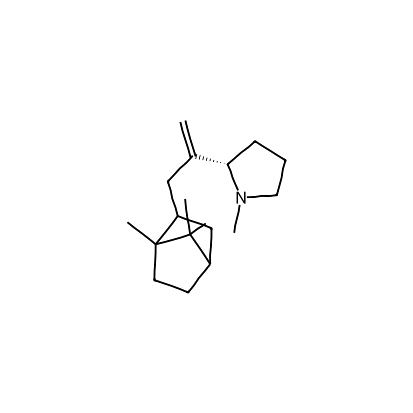 C=C(CC1CC2CCC1(C)C2(C)C)[C@@H]1CCCN1C